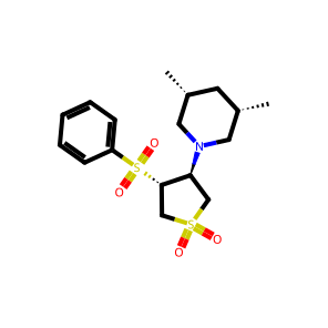 C[C@@H]1C[C@H](C)CN([C@H]2CS(=O)(=O)C[C@@H]2S(=O)(=O)c2ccccc2)C1